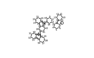 c1cc(-c2cccc3oc4ccccc4c23)cc(-n2c3ccccc3c3cc(-n4c5ccccc5c5ccccc54)ccc32)c1